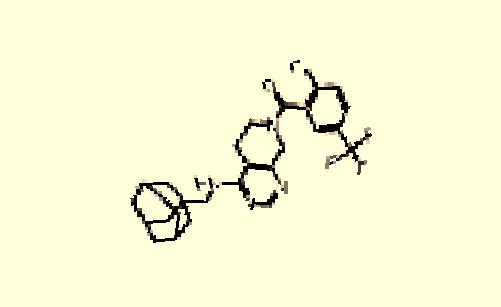 O=C(c1cc(C(F)(F)F)ccc1Cl)N1CCc2c(ncnc2NCC23CC4CC(CC(C4)C2)C3)C1